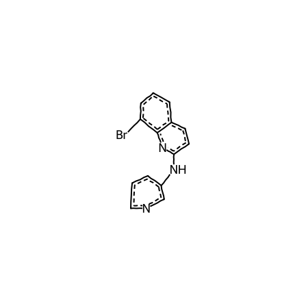 Brc1cccc2ccc(Nc3cccnc3)nc12